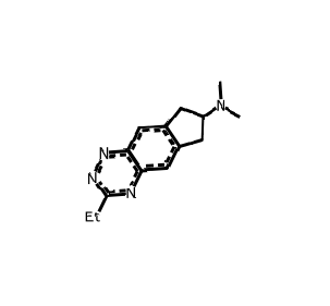 CCc1nnc2cc3c(cc2n1)CC(N(C)C)C3